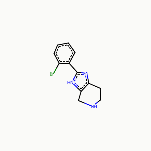 Brc1ccccc1-c1nc2c([nH]1)CNCC2